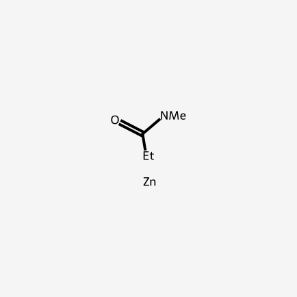 CCC(=O)NC.[Zn]